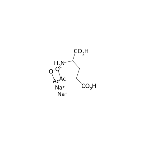 CC(=O)[O-].CC(=O)[O-].NC(CCC(=O)O)C(=O)O.[Na+].[Na+]